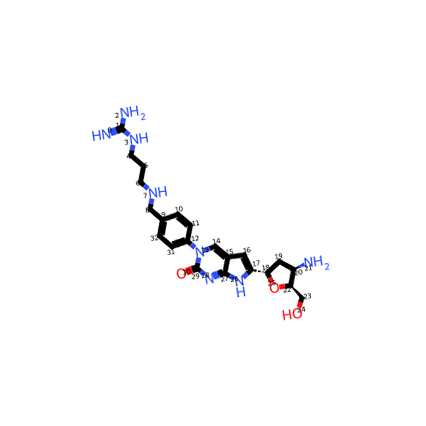 N=C(N)NCCCNCc1ccc(-n2cc3cc([C@@H]4C[C@@H](N)[C@@H](CO)O4)[nH]c3nc2=O)cc1